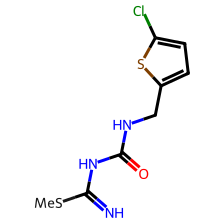 CSC(=N)NC(=O)NCc1ccc(Cl)s1